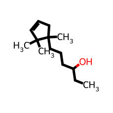 CCC(O)CCCC1(C)CC=CC1(C)C